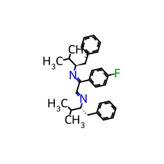 CC(C)[C@@H](Cc1ccccc1)/N=C/C(=N/[C@H](Cc1ccccc1)C(C)C)c1ccc(F)cc1